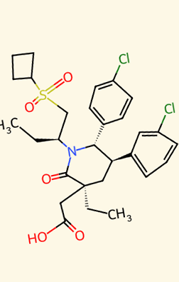 CC[C@@H](CS(=O)(=O)C1CCC1)N1C(=O)[C@](CC)(CC(=O)O)C[C@H](c2cccc(Cl)c2)[C@H]1c1ccc(Cl)cc1